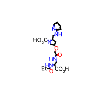 CCC(=O)NC(CNC(=O)COC1CC(CNc2ccccn2)N(C(=O)O)C1)C(=O)O